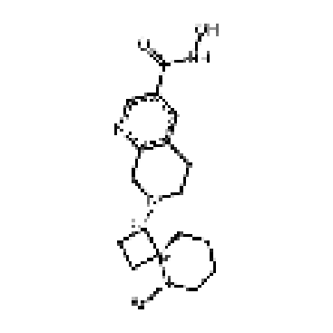 CC(=O)N1CCCC[C@]12CC[C@@H]2N1CCc2cc(C(=O)NO)cnc2C1